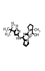 CC(C)(C)c1cc(Nc2nc(N3CCC[C@@]3(C)C(=O)O)nn3cccc23)n[nH]1